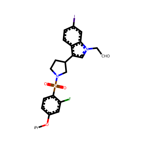 CC(C)Oc1ccc(S(=O)(=O)N2CCC(c3cn(CC=O)c4cc(I)ccc34)C2)c(F)c1